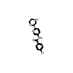 O=C(Nc1ccc([C@@H]2CNCCO2)nc1)c1ccc(Cl)cc1